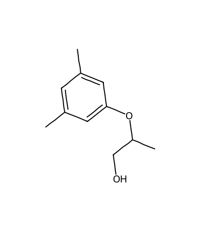 Cc1cc(C)cc(OC(C)CO)c1